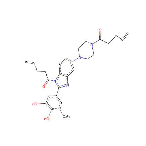 C=CCCC(=O)N1CCN(c2ccc3c(c2)nc(-c2cc(O)c(O)c(OC)c2)n3C(=O)CCC=C)CC1